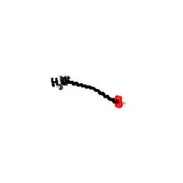 CCCCCCCCCCCCCCCCCCCCCCCC(=O)[O-].[Li+]